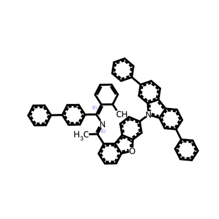 C/C(=N\C(=C1\C=CC=CC1C)c1ccc(-c2ccccc2)cc1)c1cccc2oc3cc(-n4c5cc(-c6ccccc6)ccc5c5ccc(-c6ccccc6)cc54)ccc3c12